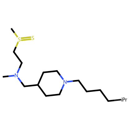 CC(C)CCCCN1CCC(CN(C)CCS(C)=S)CC1